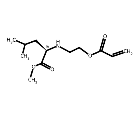 C=CC(=O)OCCN[C@H](CC(C)C)C(=O)OC